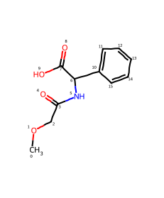 COCC(=O)NC(C(=O)O)c1ccccc1